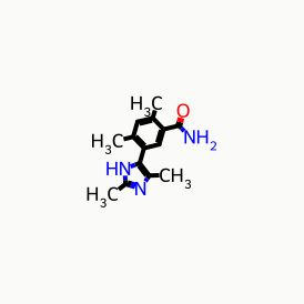 Cc1nc(C)c(-c2cc(C(N)=O)c(C)cc2C)[nH]1